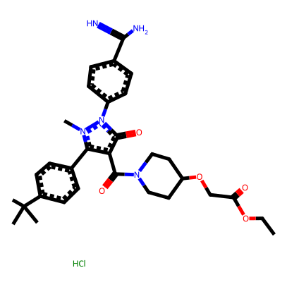 CCOC(=O)COC1CCN(C(=O)c2c(-c3ccc(C(C)(C)C)cc3)n(C)n(-c3ccc(C(=N)N)cc3)c2=O)CC1.Cl